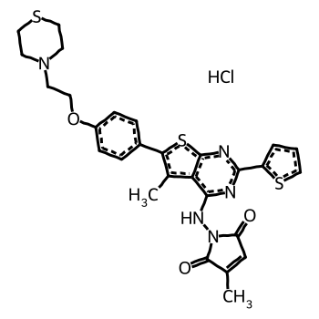 CC1=CC(=O)N(Nc2nc(-c3cccs3)nc3sc(-c4ccc(OCCN5CCSCC5)cc4)c(C)c23)C1=O.Cl